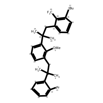 COc1c(CC(C)(C)c2ccccc2C(C)C)cccc1C(C)(C)Cc1cccc(C(C)(C)C)c1C(F)(F)F